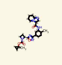 Cc1ccc(-c2noc([C@@H]3CCN3C(=O)OC3(C)CC3)n2)cc1NC(=O)c1cnc2ccccn12